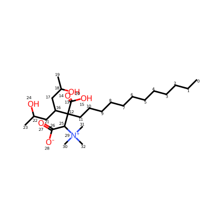 CCCCCCCCCCCCC(C(=O)O)(C(CC(C)O)CC(C)O)C(C(=O)[O-])[N+](C)(C)C